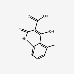 Cc1ccnc2[nH]c(=O)c(C(=O)O)c(O)c12